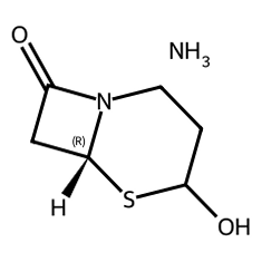 N.O=C1C[C@H]2SC(O)CCN12